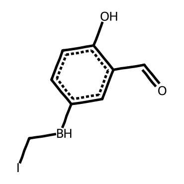 O=Cc1cc(BCI)ccc1O